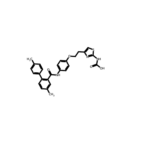 Cc1ccc(-c2ccc(C)cc2C(=O)Nc2ccc(OCCc3csc(NC(=O)O)n3)cc2)cc1